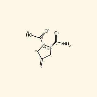 C=C1C[C@H](C(N)=O)[C@@H](C(=O)O)C1